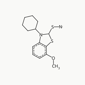 COc1cccc2c1SC(S[N])N2C1CCCCC1